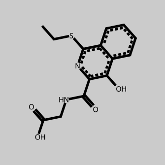 CCSc1nc(C(=O)NCC(=O)O)c(O)c2ccccc12